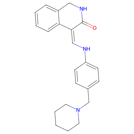 O=C1NCc2ccccc2C1=CNc1ccc(CN2CCCCC2)cc1